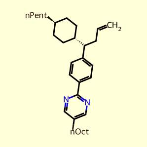 C=CCC(c1ccc(-c2ncc(CCCCCCCC)cn2)cc1)[C@H]1CC[C@H](CCCCC)CC1